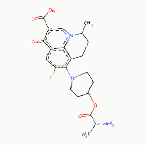 CC(N)C(=O)OC1CCN(c2c(F)cc3c(=O)c(C(=O)O)cn4c3c2CCC4C)CC1